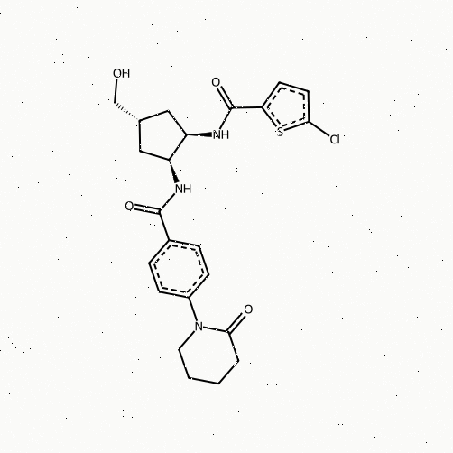 O=C(N[C@H]1C[C@H](CO)C[C@H]1NC(=O)c1ccc(Cl)s1)c1ccc(N2CCCCC2=O)cc1